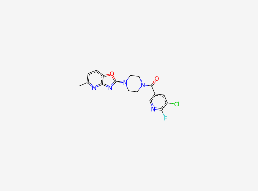 Cc1ccc2oc(N3CCN(C(=O)c4cnc(F)c(Cl)c4)CC3)nc2n1